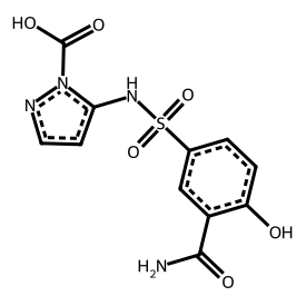 NC(=O)c1cc(S(=O)(=O)Nc2ccnn2C(=O)O)ccc1O